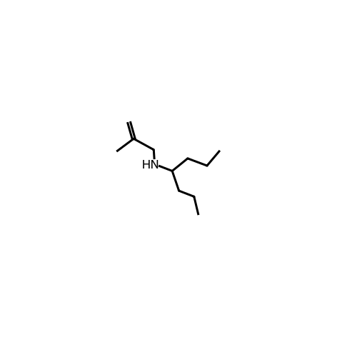 C=C(C)CNC(CCC)CCC